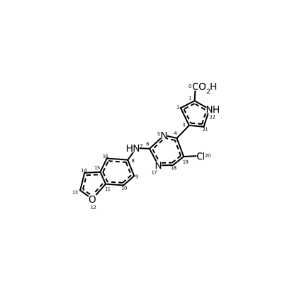 O=C(O)c1cc(-c2nc(Nc3ccc4occc4c3)ncc2Cl)c[nH]1